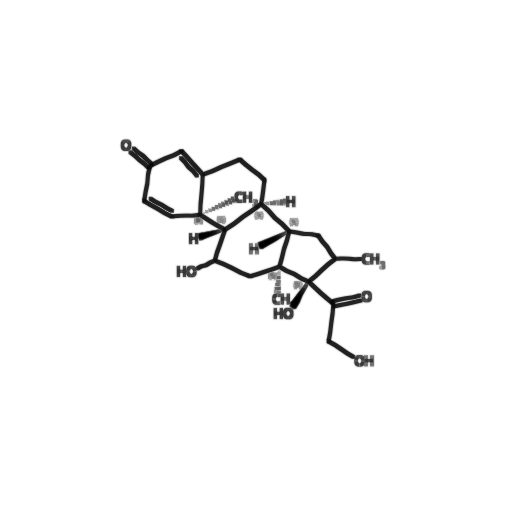 CC1C[C@H]2[C@@H]3CCC4=CC(=O)C=C[C@]4(C)[C@H]3C(O)C[C@]2(C)[C@@]1(O)C(=O)CO